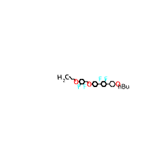 C=CCCOc1ccc(COc2ccc(-c3ccc(C4CCC(OCCCC)CC4)c(F)c3F)cc2)c(F)c1F